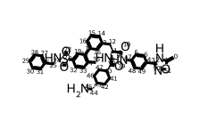 C=C1NC(c2ccc(NC(=O)[C@H](Cc3cccc(-c4cc(S(=O)(=O)NCc5ccccc5)ccc4C)c3)NC(=O)[C@H]3CC[C@H](CN)CC3)cc2)=NO1